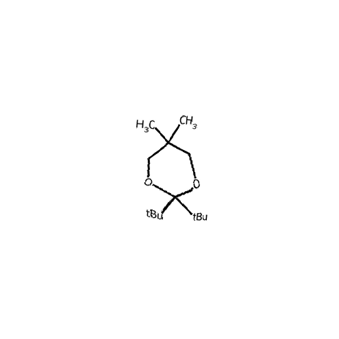 CC1(C)COC(C(C)(C)C)(C(C)(C)C)OC1